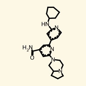 NC(=O)c1cc(-c2ccnc(NC3CCCCC3)c2)nc(N2CCN3CCCC3C2)c1